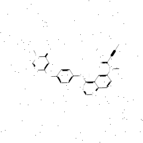 CC#CC(=O)N(C)c1ccc2ncnc(Nc3ccc(Oc4cc(=O)n(C)cn4)cc3)c2c1